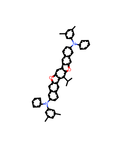 Cc1cc(C)cc(N(c2ccccc2)c2ccc3cc4c(cc3c2)oc2c(C(C)C)c3c(cc24)oc2cc4cc(N(c5ccccc5)c5cc(C)cc(C)c5)ccc4cc23)c1